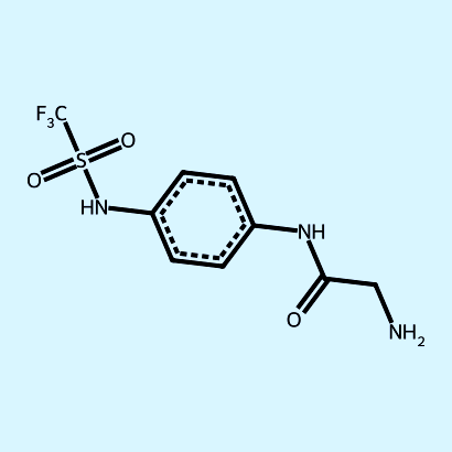 NCC(=O)Nc1ccc(NS(=O)(=O)C(F)(F)F)cc1